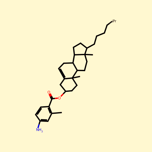 Cc1cc(N)ccc1C(=O)OC1CCC2(C)C(=CCC3C2CCC2(C)C(CCCCC(C)C)CCC32)C1